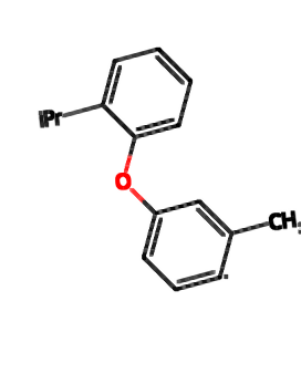 Cc1[c]ccc(Oc2ccccc2C(C)C)c1